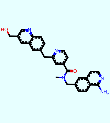 CN(Cc1ccc2c(N)nccc2c1)C(=O)c1ccnc(Cc2ccc3ncc(CO)cc3c2)c1